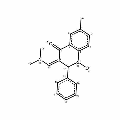 Cc1ccc2c(c1)C(=O)C(=CN(C)C)C(c1ccccc1)[S+]2[O-]